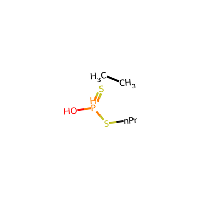 CC.CCCS[PH](O)=S